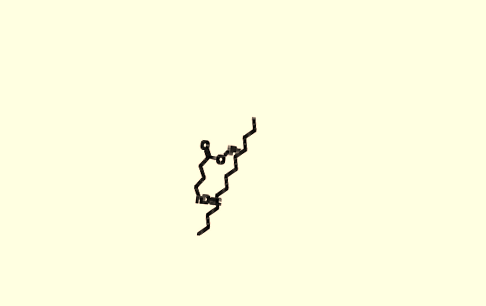 CCCCCCCCCCCCC.CCCCCCCCCCCCCC(=O)OC(C)C